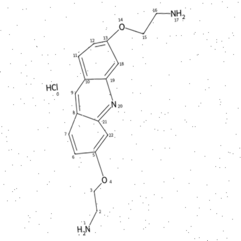 Cl.NCCOc1ccc2cc3ccc(OCCN)cc3nc2c1